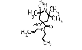 C=CCN(CC=C)C(=O)C1(O)CC(C)(C)NC(C)(C)C1